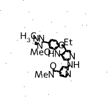 CCC(=O)c1cnc(Nc2cc(C(=O)NC)ccn2)cc1Nc1cccc(-c2ncn(C)n2)c1OC